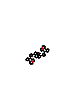 c1ccc(-c2ccccc2C2c3ccccc3B3c4c(cccc42)-c2ccc4cc5c6c(ccc7cc3c2c4c76)-c2cccc3c2B5c2ccccc2C3c2ccccc2-c2ccccc2)cc1